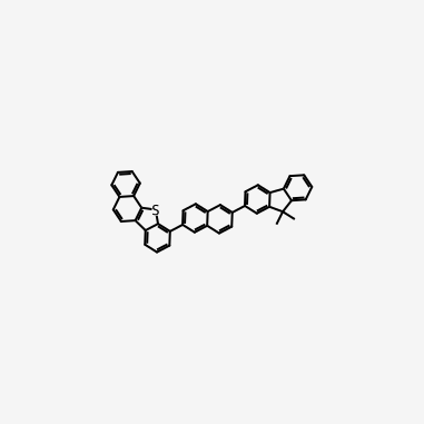 CC1(C)c2ccccc2-c2ccc(-c3ccc4cc(-c5cccc6c5sc5c7ccccc7ccc65)ccc4c3)cc21